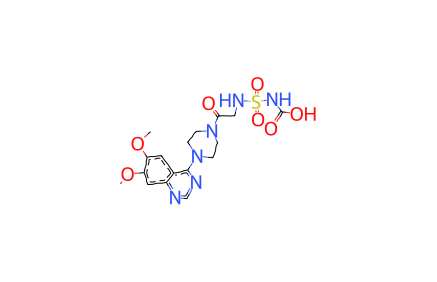 COc1cc2ncnc(N3CCN(C(=O)CNS(=O)(=O)NC(=O)O)CC3)c2cc1OC